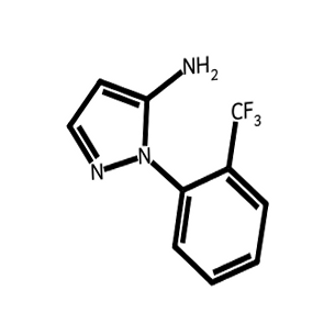 Nc1ccnn1-c1ccccc1C(F)(F)F